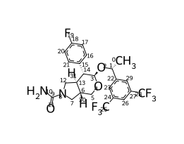 C[C@@H](O[C@H]1OC[C@@H]2CN(C(N)=O)C[C@H]2[C@@H]1c1ccc(F)cc1)c1cc(C(F)(F)F)cc(C(F)(F)F)c1